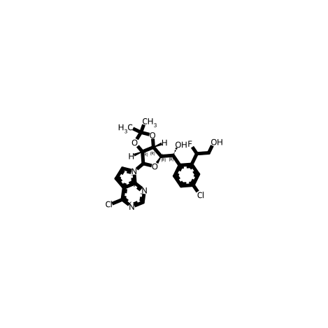 CC1(C)O[C@@H]2[C@@H]([C@H](O)c3ccc(Cl)cc3C(F)CO)OC(n3ccc4c(Cl)ncnc43)[C@@H]2O1